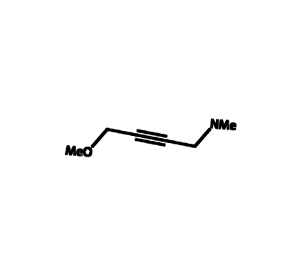 CNCC#CCOC